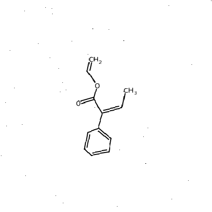 C=COC(=O)C(=CC)c1ccccc1